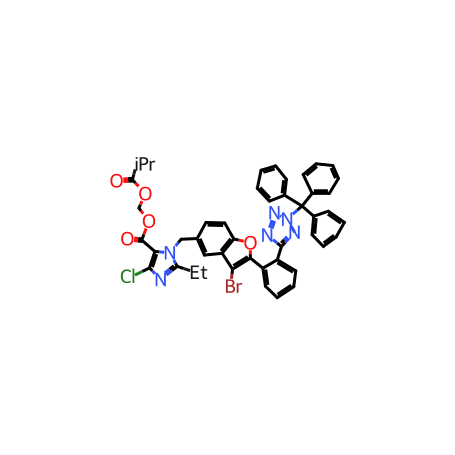 CCc1nc(Cl)c(C(=O)OCOC(=O)C(C)C)n1Cc1ccc2oc(-c3ccccc3-c3nnn(C(c4ccccc4)(c4ccccc4)c4ccccc4)n3)c(Br)c2c1